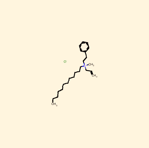 C=CC[N+](C)(CCCCCCCCCCCC)CCc1ccccc1.[Cl-]